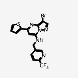 FC(F)(F)c1ccc(CNc2cc(-c3cccs3)nc3c(Br)cnn23)cn1